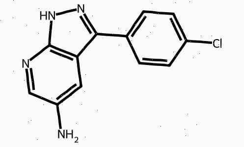 Nc1cnc2[nH]nc(-c3ccc(Cl)cc3)c2c1